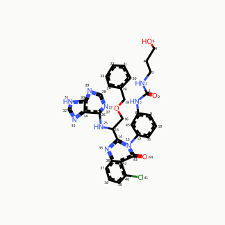 O=C(NCCCO)Nc1cccc(-n2c(C(COCc3ccccc3)Nc3ncnc4[nH]cnc34)nc3cccc(Cl)c3c2=O)c1